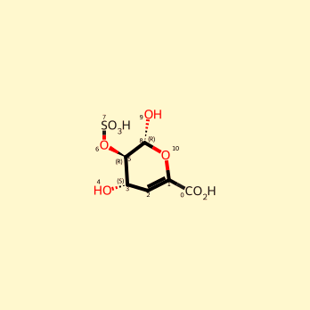 O=C(O)C1=C[C@H](O)[C@@H](OS(=O)(=O)O)[C@H](O)O1